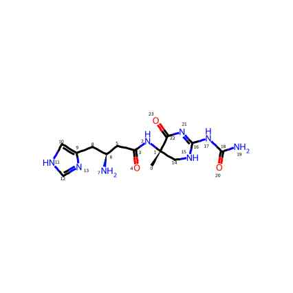 C[C@]1(NC(=O)C[C@@H](N)Cc2c[nH]cn2)CNC(NC(N)=O)=NC1=O